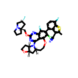 Cc1sc2c(F)ccc(-c3c(Cl)c4c5c(nc(OC[C@@]67CCCN6C[C@H](F)C7)nc5c3F)N3[C@H](CCO4)C[C@@H]4OCC[C@@H]43)c2c1C#N